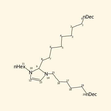 CCCCCCCCCCCCCCCCCCC1N(CCCCCC)C=CN1CCCCCCCCCCCCCCC